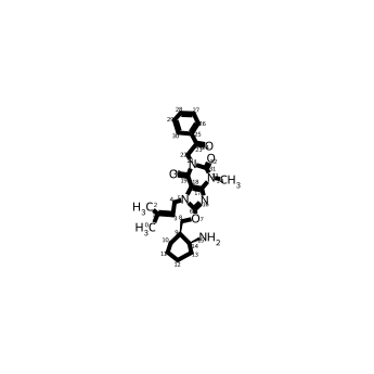 CC(C)=CCn1c(OC[C@@H]2CCCC[C@@H]2N)nc2c1c(=O)n(CC(=O)c1ccccc1)c(=O)n2C